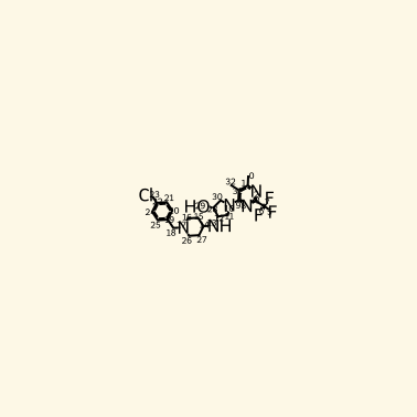 Cc1nc(C(F)(F)F)nc(N2C[C@H](NC3CCN(Cc4ccc(Cl)cc4)CC3)[C@@H](O)C2)c1C